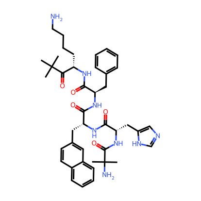 CC(C)(C)C(=O)[C@H](CCCCN)NC(=O)[C@@H](Cc1ccccc1)NC(=O)[C@@H](Cc1ccc2ccccc2c1)NC(=O)[C@H](Cc1cnc[nH]1)NC(=O)C(C)(C)N